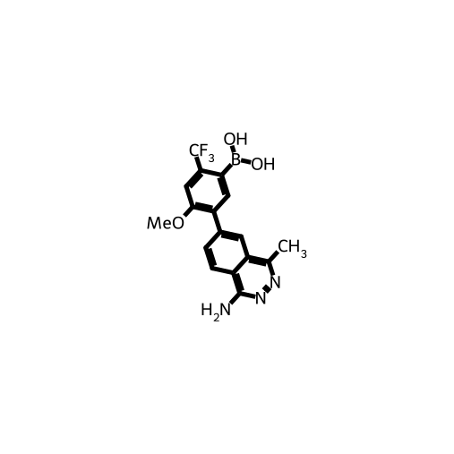 COc1cc(C(F)(F)F)c(B(O)O)cc1-c1ccc2c(N)nnc(C)c2c1